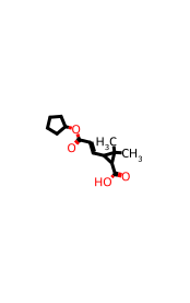 CC1(C)C(C=CC(=O)OC2CCCC2)C1C(=O)O